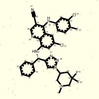 CN1CC(n2cc([C@@H](Nc3cc(Cl)cc4c(Nc5ccc(F)c(Cl)c5)c(C#N)cnc34)c3ccccc3)nn2)CC(F)(F)C1